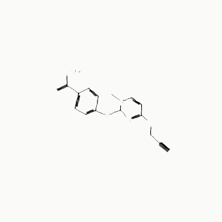 C#CCOC1=NC(Nc2ccc(C(=O)OC)cc2)N(Br)C=C1